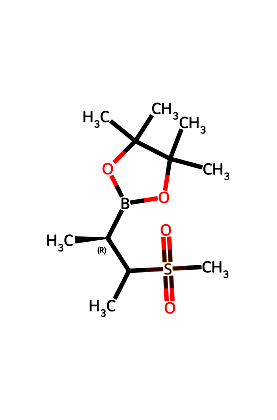 CC([C@@H](C)B1OC(C)(C)C(C)(C)O1)S(C)(=O)=O